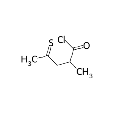 CC(=S)CC(C)C(=O)Cl